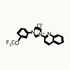 FC(F)(F)Oc1cccc(-n2cc[n+](-c3ccc4ccccc4n3)c2)c1.[Cl-]